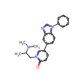 CC(Cn1cc(-c2ccc3c(c2)ncn3-c2ccccc2)ccc1=O)N(C)C